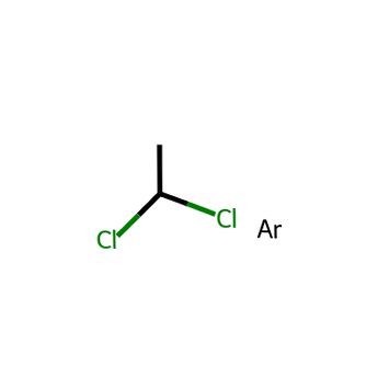 CC(Cl)Cl.[Ar]